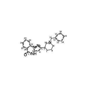 O=c1[nH]c2cc(C3CCCN(Cc4ccccc4)C3)nn2c2ccccc12